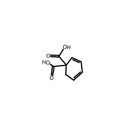 O=C(O)C1(C(=O)O)C=CC=CC1